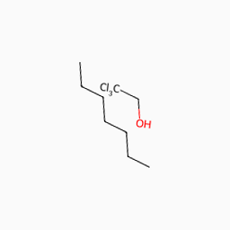 CCCCCCC.OCC(Cl)(Cl)Cl